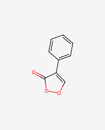 O=c1oocc1-c1ccccc1